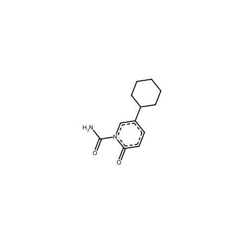 NC(=O)n1cc(C2CCCCC2)ccc1=O